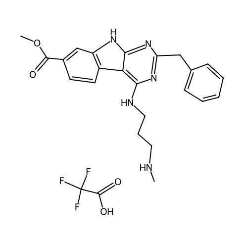 CNCCCNc1nc(Cc2ccccc2)nc2[nH]c3cc(C(=O)OC)ccc3c12.O=C(O)C(F)(F)F